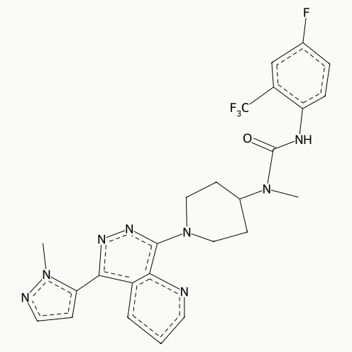 CN(C(=O)Nc1ccc(F)cc1C(F)(F)F)C1CCN(c2nnc(-c3ccnn3C)c3cccnc23)CC1